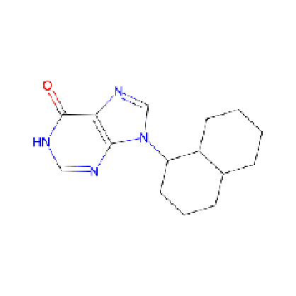 O=c1[nH]cnc2c1ncn2C1CCCC2CCCCC21